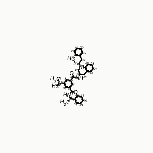 C[C@@H](NC(=O)c1cc(C(=O)NC(CN[C@H](CO)Cc2ccccc2)Cc2ccccc2)cc(N(C)S)c1)c1ccccc1